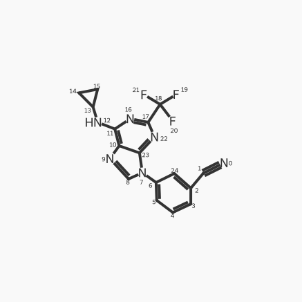 N#Cc1cccc(-n2cnc3c(NC4CC4)nc(C(F)(F)F)nc32)c1